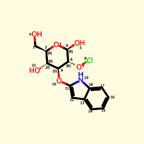 OC[C@H]1O[C@@H](O)[C@H](OCl)[C@@H](Oc2cc3ccccc3[nH]2)[C@@H]1O